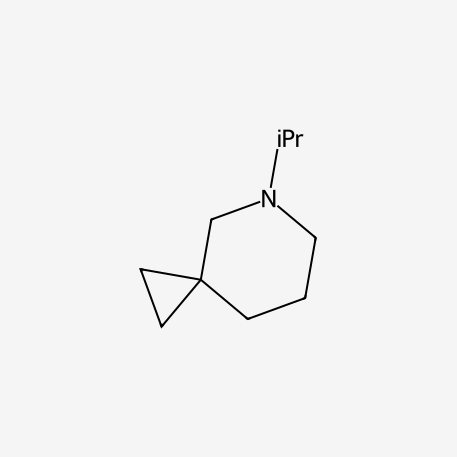 CC(C)N1CCCC2(CC2)C1